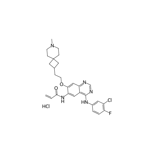 C=CC(=O)Nc1cc2c(Nc3ccc(F)c(Cl)c3)ncnc2cc1OCCC1CC2(CCN(C)CC2)C1.Cl